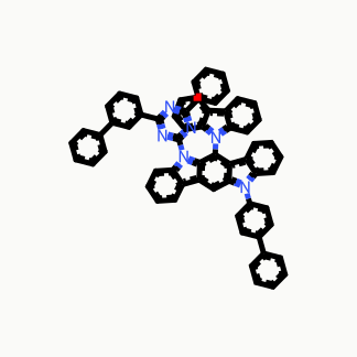 c1ccc(-c2ccc(-n3c4ccccc4c4c(-n5c6ccccc6c6ccccc65)c5c(cc43)c3ccccc3n5-c3nc(-c4ccccc4)nc(-c4cccc(-c5ccccc5)c4)n3)cc2)cc1